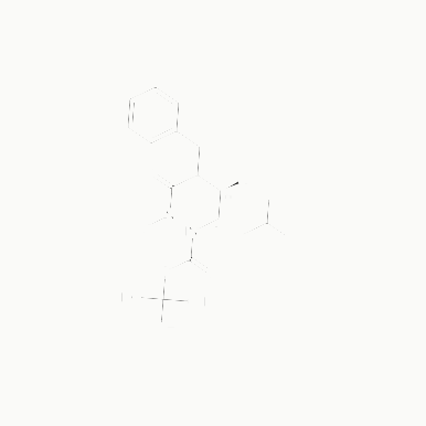 CC(C)C[C@H](NC(=O)OC(C)(C)C)[C@H](O)C(Cc1ccccc1)C(=O)NO